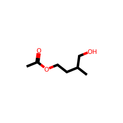 CC(=O)OCCC(C)CO